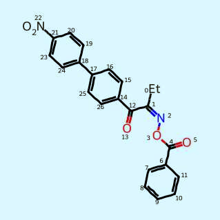 CC/C(=N/OC(=O)c1ccccc1)C(=O)c1ccc(-c2ccc([N+](=O)[O-])cc2)cc1